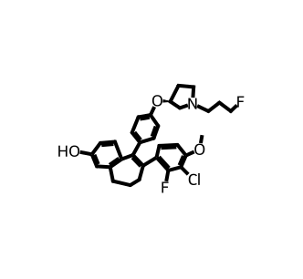 COc1ccc(C2=C(c3ccc(O[C@H]4CCN(CCCF)C4)cc3)c3ccc(O)cc3CCC2)c(F)c1Cl